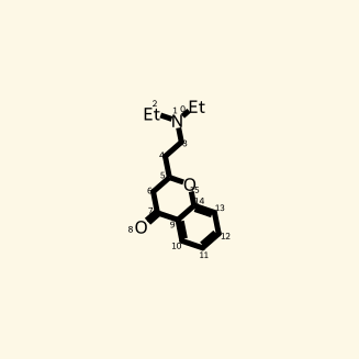 CCN(CC)CCC1CC(=O)c2ccccc2O1